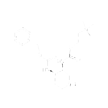 C[Si](C)(C)CCOC(=O)N[C@H]1CNCC[C@H]1NC(=O)OCc1ccccc1